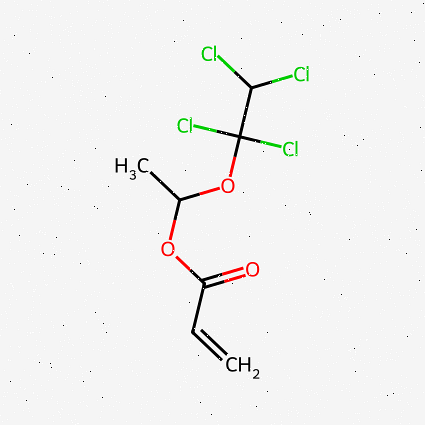 C=CC(=O)OC(C)OC(Cl)(Cl)C(Cl)Cl